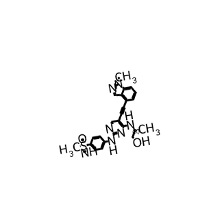 C[C@H](CO)Nc1nc(Nc2ccc(S(C)(=N)=O)cc2)ncc1C#Cc1cccc2c1cnn2C